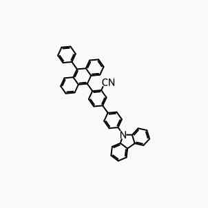 N#Cc1cc(-c2ccc(-n3c4ccccc4c4ccccc43)cc2)ccc1-c1c2ccccc2c(-c2ccccc2)c2ccccc12